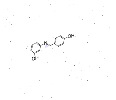 Oc1ccc(/C=N/c2cccc(O)c2)cc1